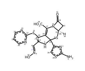 Nc1nc(C2(NC(=O)/C=N/O)S[C@@H]3CC(=O)N3C(C(=O)O)=C2CSc2ncccn2)cs1